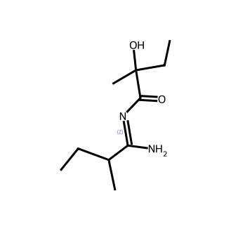 CCC(C)/C(N)=N/C(=O)C(C)(O)CC